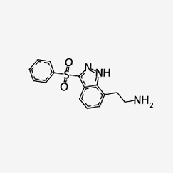 NCCc1cccc2c(S(=O)(=O)c3ccccc3)n[nH]c12